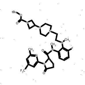 Cc1cc(C(F)(F)F)cc(N2C(=O)CCC2C(=O)N(C)c2cccc(F)c2N(C)CCN2CCN(C3CN(C(=O)OC(C)(C)C)C3)CC2)n1